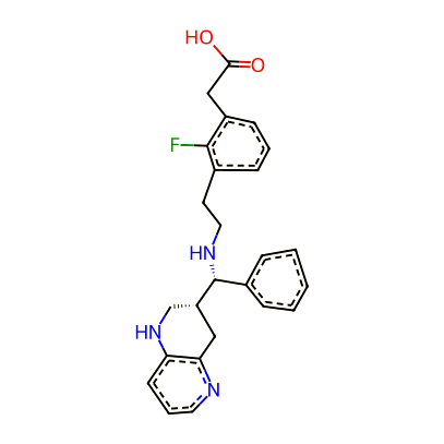 O=C(O)Cc1cccc(CCN[C@H](c2ccccc2)[C@H]2CNc3cccnc3C2)c1F